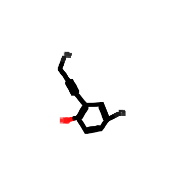 CCc1ccc(O)c(C#CCC(C)C)c1